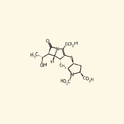 C[C@@H](O)[C@H]1C(=O)N2C(C(=O)O)=C(S[C@H]3C[C@@H](C(=O)O)N(C(=O)O)C3)[C@H](C)[C@H]12